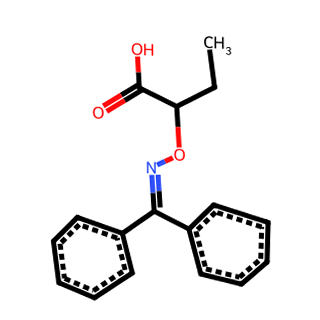 CCC(ON=C(c1ccccc1)c1ccccc1)C(=O)O